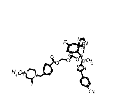 C[C@@H](c1nc(-c2ccc(C#N)cc2)cs1)[C@@](Cn1cncn1)(OC(=O)OCOC(=O)c1ccc(CN2CCN(C)CC2I)cc1)c1ccc(F)cc1F